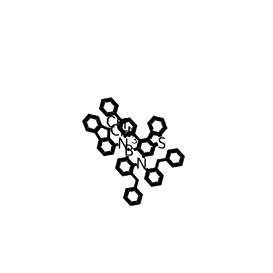 CC1(C)c2ccccc2-c2cccc(N3B4c5cccc(Cc6ccccc6)c5N(c5ccccc5Cc5ccccc5)c5cc6sc7ccccc7c6c(c54)-c4ccc(-c5ccccc5)cc43)c21